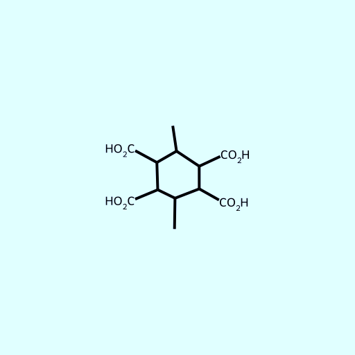 CC1C(C(=O)O)C(C(=O)O)C(C)C(C(=O)O)C1C(=O)O